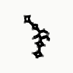 O=C(C(=CI)C1CC(C2CCC2)C1)C(=CI)C1CC(C2CCC2)C1